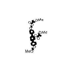 C=C(COC)C(=O)OCCOC1CCC(c2ccc(C3CCC(OCCOC)CC3)cc2OC(=O)C(=C)COC)CC1